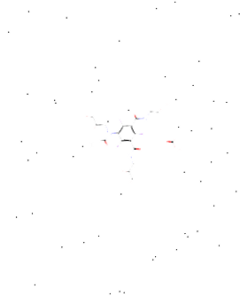 CC(=O)N(CC(O)CO)c1c(I)c(C(=O)NCCO)c(I)c(C(=O)NCC(O)CO)c1I.O=C(O)O